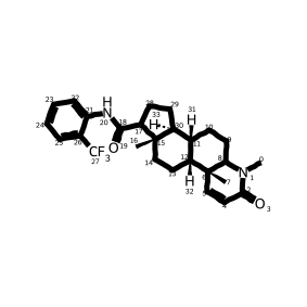 CN1C(=O)C=C[C@@]2(C)C1CC[C@@H]1[C@H]2CC[C@]2(C)C(C(=O)Nc3ccccc3C(F)(F)F)CC[C@@H]12